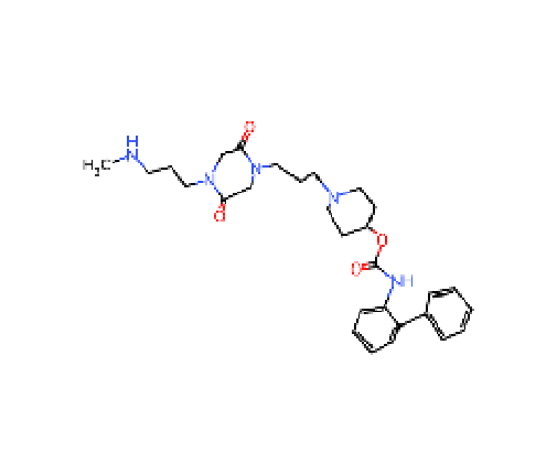 CNCCCN1CC(=O)N(CCCN2CCC(OC(=O)Nc3ccccc3-c3ccccc3)CC2)CC1=O